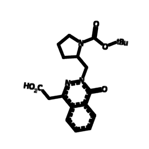 CC(C)(C)OC(=O)N1CCCC1Cn1nc(CC(=O)O)c2ccccc2c1=O